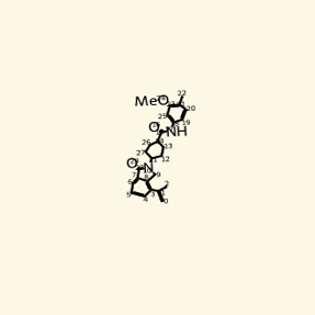 C=C(C)c1cccc2c1CN(C1CCC(C(=O)Nc3ccc(C)c(OC)c3)CC1)C2=O